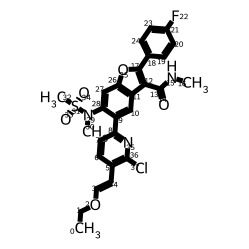 CCOC=Cc1ccc(-c2cc3c(C(=O)NC)c(-c4ccc(F)cc4)oc3cc2N(C)S(C)(=O)=O)nc1Cl